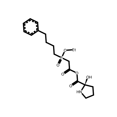 CCOP(=O)(CCCCc1ccccc1)CC(=O)OC(=O)[C@]1(O)CCCN1